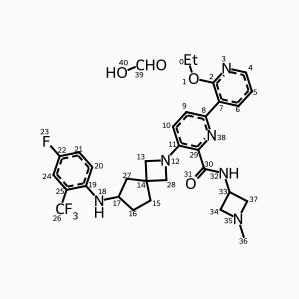 CCOc1ncccc1-c1ccc(N2CC3(CCC(Nc4ccc(F)cc4C(F)(F)F)C3)C2)c(C(=O)NC2CN(C)C2)n1.O=CO